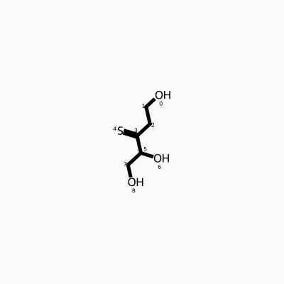 OCCC(=S)C(O)CO